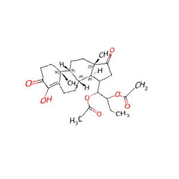 CCC(OC(C)=O)C(OC(C)=O)C1CC(=O)[C@@]2(C)CC[C@@H]3[C@@H](CCC4=C(O)C(=O)CC[C@@]43C)[C@H]12